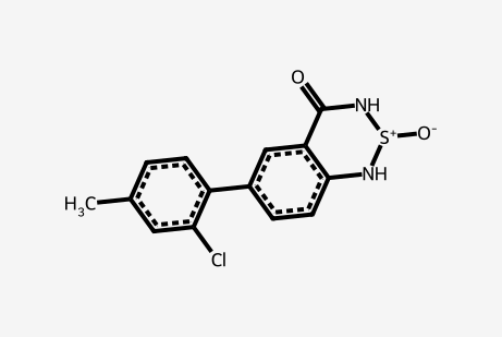 Cc1ccc(-c2ccc3c(c2)C(=O)N[S+]([O-])N3)c(Cl)c1